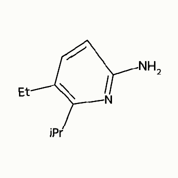 CCc1ccc(N)nc1C(C)C